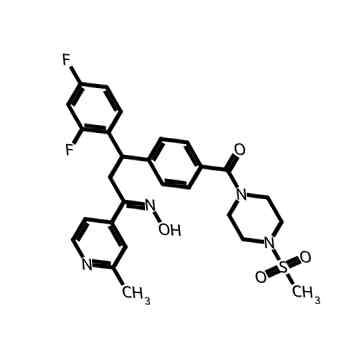 Cc1cc(C(CC(c2ccc(C(=O)N3CCN(S(C)(=O)=O)CC3)cc2)c2ccc(F)cc2F)=NO)ccn1